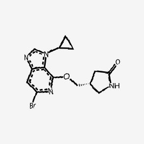 O=C1C[C@@H](COc2nc(Br)cc3ncn(C4CC4)c23)CN1